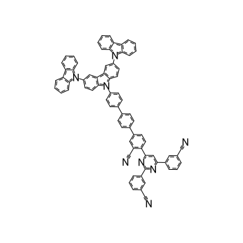 N#Cc1cccc(-c2cc(-c3ccc(-c4ccc(-c5ccc(-n6c7ccc(-n8c9ccccc9c9ccccc98)cc7c7cc(-n8c9ccccc9c9ccccc98)ccc76)cc5)cc4)cc3C#N)nc(-c3cccc(C#N)c3)n2)c1